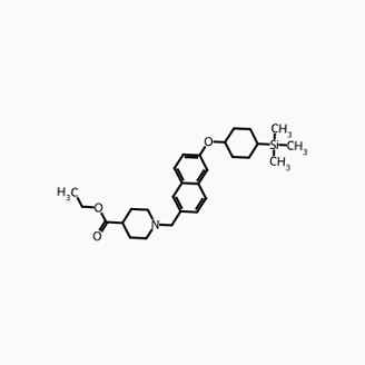 CCOC(=O)C1CCN(Cc2ccc3cc(OC4CCC([Si](C)(C)C)CC4)ccc3c2)CC1